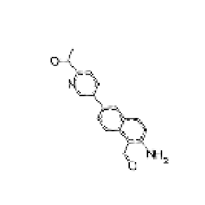 CC(=O)c1ccc(-c2ccc3c(C=O)c(N)ccc3c2)cn1